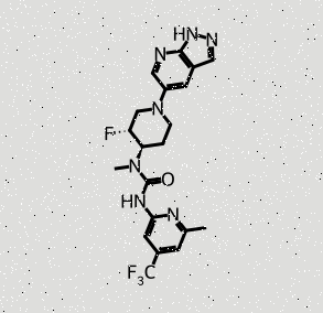 Cc1cc(C(F)(F)F)cc(NC(=O)N(C)[C@@H]2CCN(c3cnc4[nH]ncc4c3)C[C@H]2F)n1